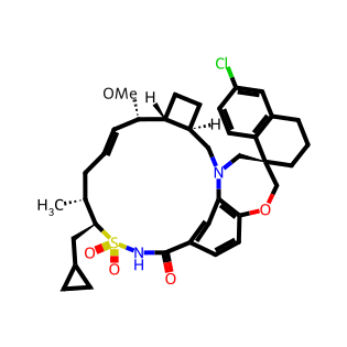 CO[C@H]1/C=C/C[C@@H](C)[C@H](CC2CC2)S(=O)(=O)NC(=O)c2ccc3c(c2)N(C[C@@H]2CC[C@H]21)C[C@@]1(CCCc2cc(Cl)ccc21)CO3